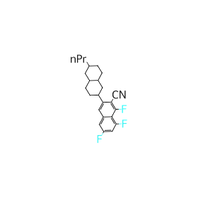 CCCC1CCC2CC(c3cc4cc(F)cc(F)c4c(F)c3C#N)CCC2C1